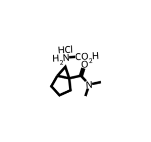 CN(C)C(=O)C12CCCC1C2.Cl.NC(=O)O